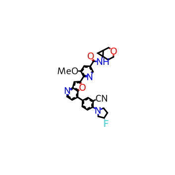 COc1cc(C(=O)NC23CCOCC2C3)cnc1-c1cc2nccc(-c3ccc(N4CC[C@H](F)C4)c(C#N)c3)c2o1